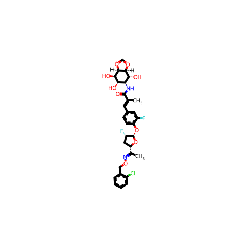 C/C(=C\c1ccc(O[C@@H]2O[C@H](/C(C)=N/OCc3ccccc3Cl)C[C@@H]2F)c(F)c1)C(=O)N[C@@H]1[C@H](O)[C@@H](O)[C@H]2OCO[C@H]2[C@@H]1O